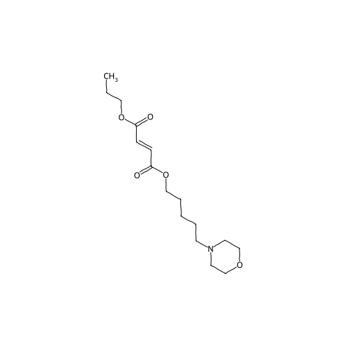 CCCOC(=O)C=CC(=O)OCCCCCN1CCOCC1